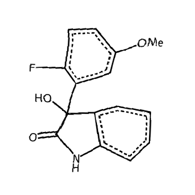 COc1ccc(F)c(C2(O)C(=O)Nc3ccccc32)c1